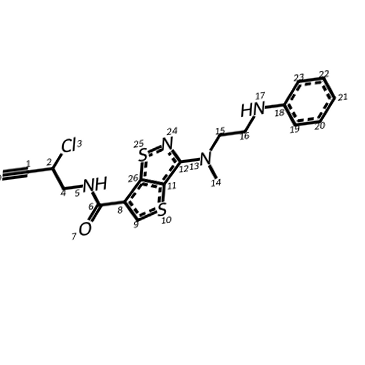 C#CC(Cl)CNC(=O)c1csc2c(N(C)CCNc3ccccc3)nsc12